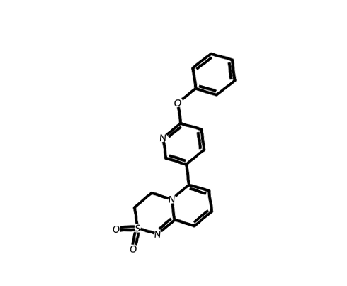 O=S1(=O)CCN2C(c3ccc(Oc4ccccc4)nc3)=CC=CC2=N1